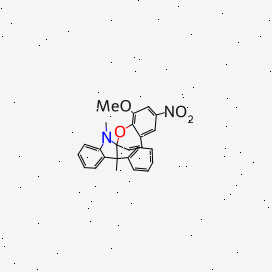 COc1cc([N+](=O)[O-])cc2c1OC1(C=C2)N(C)c2ccccc2C1(C)c1ccccc1